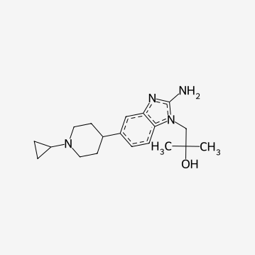 CC(C)(O)Cn1c(N)nc2cc(C3CCN(C4CC4)CC3)ccc21